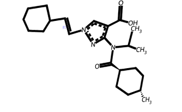 CC(C)N(c1nn(/C=C/C2CCCCC2)cc1C(=O)O)C(=O)[C@H]1CC[C@H](C)CC1